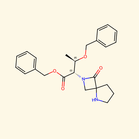 C[C@@H](OCc1ccccc1)[C@@H](C(=O)OCc1ccccc1)N1CC2(CCCN2)C1=O